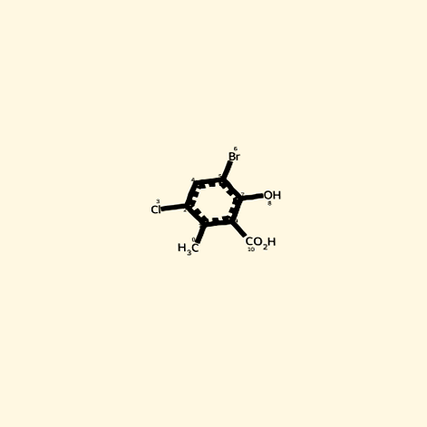 Cc1c(Cl)cc(Br)c(O)c1C(=O)O